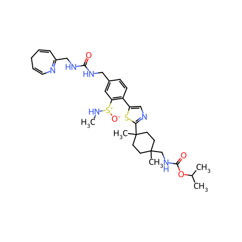 CN[S+]([O-])c1cc(CNC(=O)NCC2=NC=CCC=C2)ccc1-c1cnc(C2(C)CCC(C)(CNC(=O)OC(C)C)CC2)s1